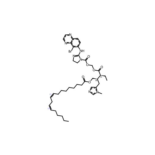 CCCCC/C=C\C/C=C\CCCCCCCC(=O)OC[C@H](Cc1cncn1C)[C@H](CC)C(=O)OCOC(=O)N1CCN=C1Nc1ccc2nccnc2c1Br